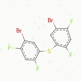 Fc1cc(F)c(Sc2cc(Br)c(F)cc2F)cc1Br